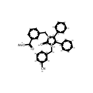 COC(=O)c1cccc(Cn2c(-c3ccccc3)c(-c3ccccc3)n(Cc3cccc(C#N)c3)c2=O)c1